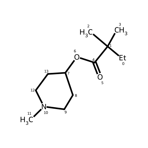 CCC(C)(C)C(=O)OC1CCN(C)CC1